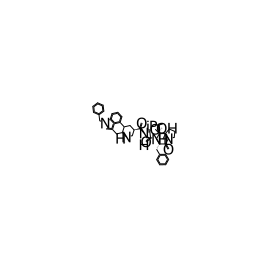 CC(C)[C@@]1(NC(=O)[C@@H]2CC3c4cccc5c4c(cn5Cc4ccccc4)C[C@H]3N(C)C2)O[C@@]2(O)[C@@H]3CCCN3C(=O)[C@H](Cc3ccccc3)N2C1=O